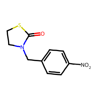 O=C1SCCN1Cc1ccc([N+](=O)[O-])cc1